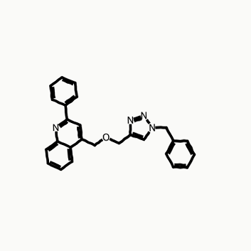 c1ccc(Cn2cc(COCc3cc(-c4ccccc4)nc4ccccc34)nn2)cc1